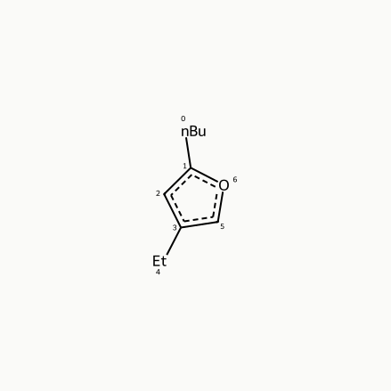 [CH2]CCCc1cc(CC)co1